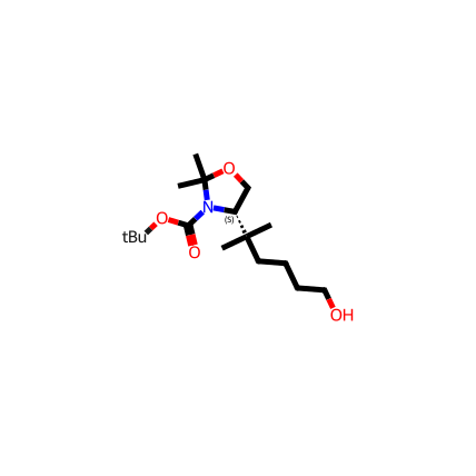 CC(C)(C)OC(=O)N1[C@@H](C(C)(C)CCCCO)COC1(C)C